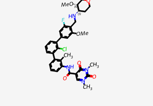 COc1cc(-c2cccc(-c3cccc(NC(=O)c4cn(C)c(=O)n(C)c4=O)c3C)c2Cl)cc(F)c1CN[C@H]1CCOC[C@H]1OC